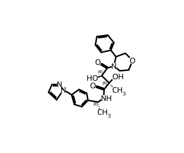 C[C@@H](NC(=O)[C@](C)(O)[C@@H](O)C(=O)N1CCOCC1c1ccccc1)c1ccc(-n2cccn2)cc1